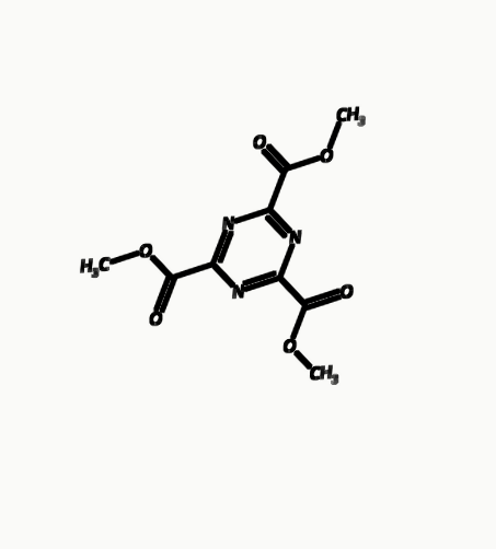 COC(=O)c1nc(C(=O)OC)nc(C(=O)OC)n1